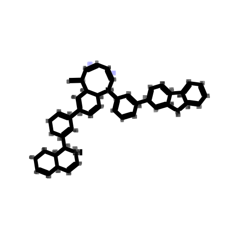 C=C1/C=C\C=C/N(c2cccc(-c3ccc4c(c3)sc3ccccc34)c2)C2C=CC(C3=CCCC(C4NC=CC5C=CCCC54)=C3)=CC12